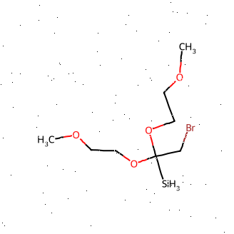 COCCOC([SiH3])(CBr)OCCOC